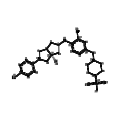 CCc1cnc(N2CC3CC(Oc4ccc(CN5CCN(S(C)(=O)=O)CC5)cc4Br)C[C@H]3C2)nc1